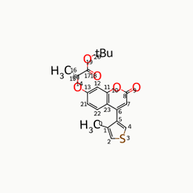 Cc1cscc1-c1cc(=O)oc2cc(O[C@H](C)C(=O)OC(C)(C)C)ccc12